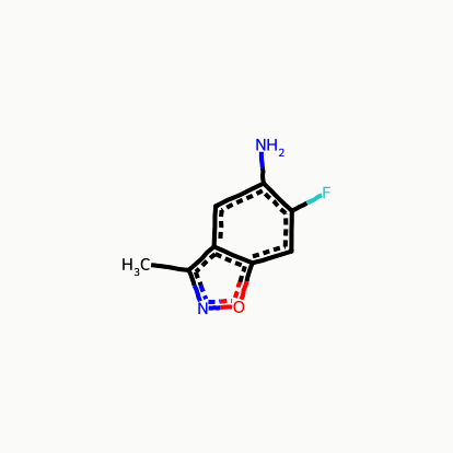 Cc1noc2cc(F)c(N)cc12